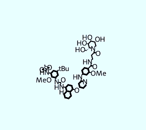 COc1cc(Nc2cc(Oc3ccc(NC(=O)Nc4cc(C(C)(C)C)cc(NS(C)(=O)=O)c4OC)c4ccccc34)ccn2)ccc1C(=O)NCCC(=O)N1C[C@H](O)[C@@H](O)[C@H](O)[C@H]1CO